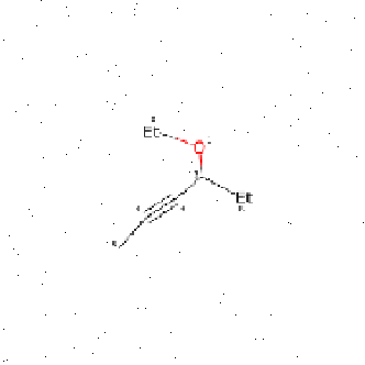 [CH2]COC(C#CC)CC